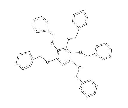 [c]1c(OCc2ccccc2)c(OCc2ccccc2)c(OCc2ccccc2)c(OCc2ccccc2)c1OCc1ccccc1